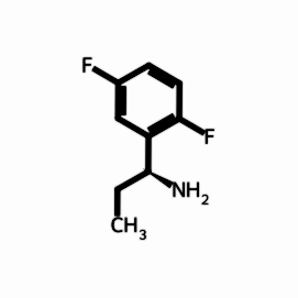 CC[C@H](N)c1cc(F)ccc1F